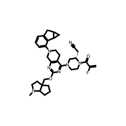 C=C(F)C(=O)N1CCN(c2nc(OCC34CCCC3N(C)CC4)nc3c2CCN(c2cccc4c2C2CC2C4)C3)C[C@@H]1CC#N